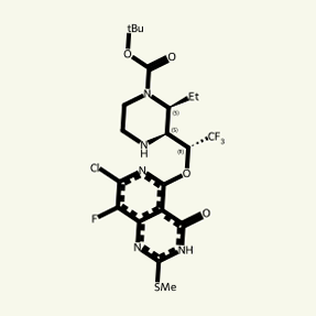 CC[C@H]1[C@@H]([C@@H](Oc2nc(Cl)c(F)c3nc(SC)[nH]c(=O)c23)C(F)(F)F)NCCN1C(=O)OC(C)(C)C